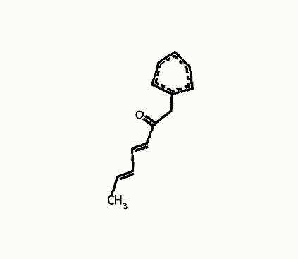 C/C=C/C=C/C(=O)Cc1ccccc1